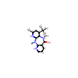 [2H]c1cc(C([2H])([2H])[2H])c2c(n1)N(C)c1ncccc1C(=O)N2[2H]